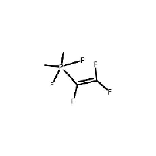 CP(C)(F)(F)C(F)=C(F)F